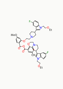 CCOCCn1cc(C2CCN(CCOc3cc(OC)ccc3C(=O)OC(=O)c3cc(C)ccc3OCCN3CCC(c4cn(CCOCC)c5ccc(F)cc45)CC3)CC2)c2cc(F)ccc21